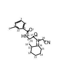 Cc1cccc(C(=O)N[C@@H](CC2CCCCC2)C(=O)NCC#N)c1